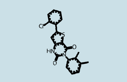 Cc1cccc(-n2c(=O)[nH]c3cc(-c4ccccc4Cl)sc3c2=O)c1C